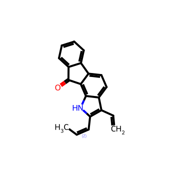 C=Cc1c(/C=C\C)[nH]c2c3c(ccc12)-c1ccccc1C3=O